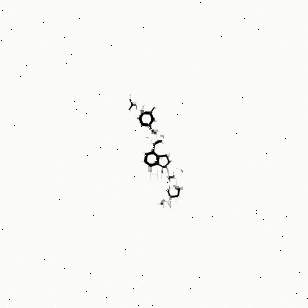 Cc1cc(-c2ncc(-c3cccc4c3CCC4NC(=O)N3CCC(N(C)C)C3)s2)ccc1OC(C)C